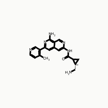 Cc1ccncc1-c1cc2cc(NC(=O)C3C[C@@H]3CN)ncc2c(N)n1